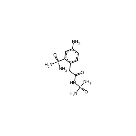 Nc1ccc(CC(=O)NP(N)(N)=O)c(P(N)(N)=O)c1